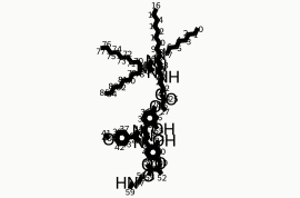 CCCCCCCCN(CCCCCCCC)c1nc(NCCOC(=O)C(C)Oc2ccc(-c3nc(-c4ccc(OC)cc4)nc(-c4ccc(OC(C)C(=O)OCCNC)cc4O)n3)c(O)c2)nc(N(CCCCCCCC)CCCCCCCC)n1